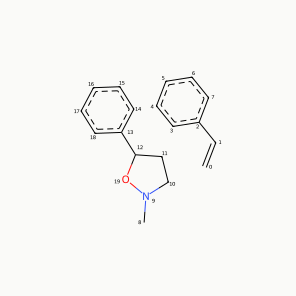 C=Cc1ccccc1.CN1CCC(c2ccccc2)O1